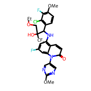 CCOCC(O)(C(Nc1cc(F)cc2c1ccc(=O)n2-c1cnc(OC)nc1)c1ccc(OC)c(F)c1Cl)C(F)(F)F